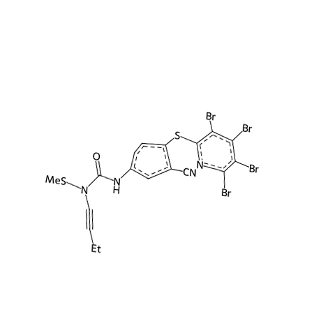 CCC#CN(SC)C(=O)Nc1ccc(Sc2nc(Br)c(Br)c(Br)c2Br)c(C#N)c1